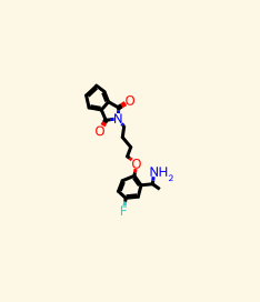 CC(N)c1cc(F)ccc1OCCCCN1C(=O)c2ccccc2C1=O